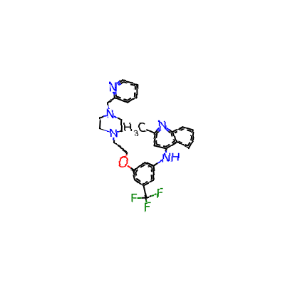 Cc1cc(Nc2cc(OCCN3CCN(Cc4ccccn4)CC3)cc(C(F)(F)F)c2)c2ccccc2n1